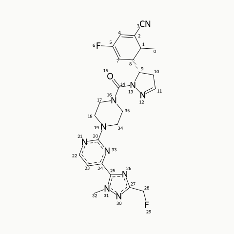 CC1C(C#N)=CC(F)=CC1[C@@H]1CC=NN1C(=O)N1CCN(c2nccc(-c3nc(CF)nn3C)n2)CC1